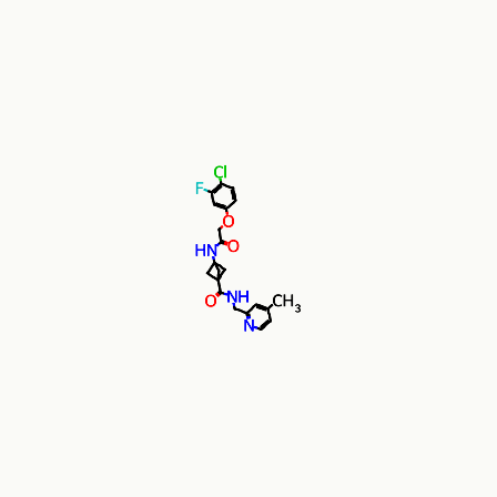 Cc1ccnc(CNC(=O)C23CC(NC(=O)COc4ccc(Cl)c(F)c4)(C2)C3)c1